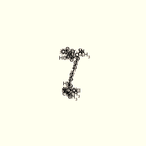 Cc1ncsc1-c1ccc(CNC(=O)[C@@H]2C[C@@H](O)CN2C(=O)C(C(C)C)N2Cc3ccccc3C2=O)c(OCCOCCOCCCCOCCOCCNC(=O)C[C@@H]2N=C(c3ccc(Cl)cc3)c3c(sc(C)c3C)-n3c(C)nnc32)c1